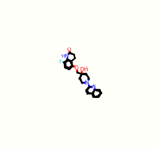 O=C1CCc2c(OCC3(O)CCN(c4ccc5ccccc5n4)CC3)ccc(F)c2N1